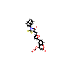 COCOc1cc(=O)oc2ccc(-c3ccc(/C=C4\SC(=S)N(C5C6CC7CC(C6)CC5C7)C4=O)o3)cc12